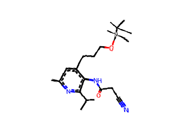 Cc1cc(CCCO[Si](C)(C)C(C)(C)C)c(NC(=O)CC#N)c(C(C)C)n1